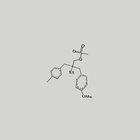 CCC(COS(C)(=O)=O)(Cc1ccc(C)cc1)Cc1ccc(OC)cc1